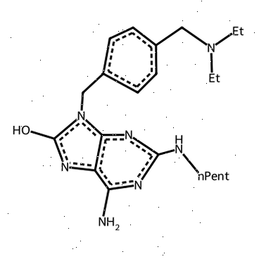 CCCCCNc1nc(N)c2nc(O)n(Cc3ccc(CN(CC)CC)cc3)c2n1